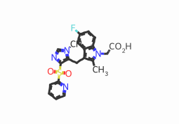 Cc1c(Cc2c(S(=O)(=O)c3ccccn3)ncn2C)c2cc(F)ccc2n1CC(=O)O